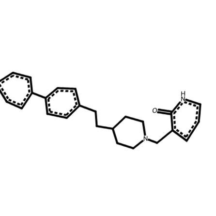 O=c1[nH]cccc1CN1CCC(CCc2ccc(-c3ccccc3)cc2)CC1